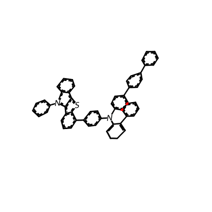 C1=C(c2ccccc2)C(N(c2ccc(-c3ccc(-c4ccccc4)cc3)cc2)c2ccc(-c3cccc4c3sc3c5ccccc5n(-c5ccccc5)c43)cc2)=CCC1